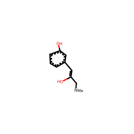 CNCC(O)=Cc1cccc(O)c1